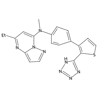 CCc1cc(N(C)c2ccc(-c3ccsc3-c3nnn[nH]3)cc2)n2nccc2n1